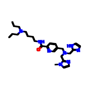 CCCN(CCC)CCCCNC(=O)c1ccc(CN(Cc2ncc[nH]2)Cc2nccn2C)cn1